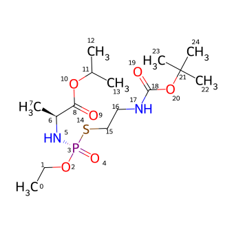 CCO[P@@](=O)(N[C@@H](C)C(=O)OC(C)C)SCCNC(=O)OC(C)(C)C